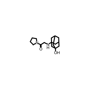 O=C(CNC12CC3CC(CC(O)(C3)C1)C2)N1[CH]CCC1